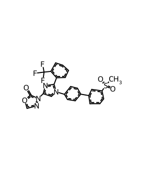 CS(=O)(=O)c1cccc(-c2ccc(-n3cc(-n4ncoc4=O)nc3-c3ccccc3C(F)(F)F)cc2)c1